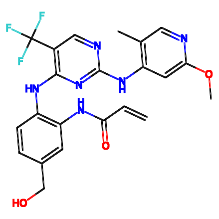 C=CC(=O)Nc1cc(CO)ccc1Nc1nc(Nc2cc(OC)ncc2C)ncc1C(F)(F)F